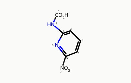 O=C(O)Nc1cccc([N+](=O)[O-])n1